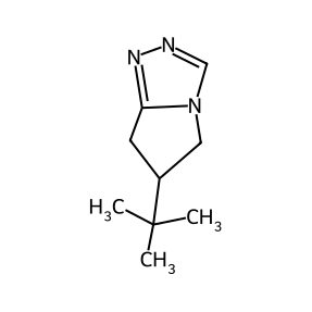 CC(C)(C)C1Cc2nncn2C1